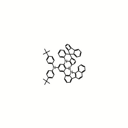 CC(C)(C)c1ccc(N(c2ccc(C(C)(C)C)cc2)c2cc3c4c(c2)N2c5ccccc5C5(c6ccccc6-c6ccccc65)c5cccc(c52)B4n2c4c-3cccc4c3ccc4ccccc4c32)cc1